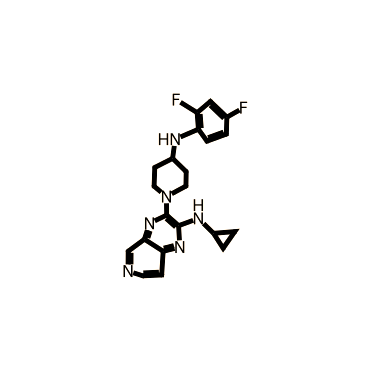 Fc1ccc(NC2CCN(c3nc4cnccc4nc3NC3CC3)CC2)c(F)c1